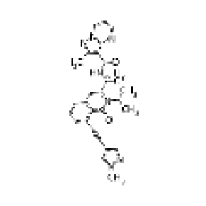 Cc1nn2cccnc2c1C(=O)N[C@@H](C)c1cc2cccc(C#Cc3cnn(C)c3)c2c(=O)n1C(C)C